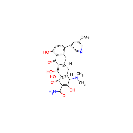 COc1cncc(-c2ccc(O)c3c2C[C@H]2C[C@H]4C(N(C)C)C(O)=C(C(N)=O)C(=O)[C@@]4(O)C(O)=C2C3=O)c1